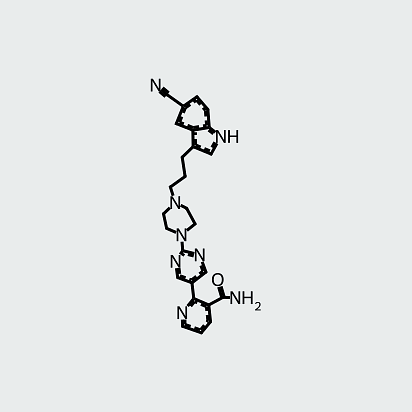 N#Cc1ccc2[nH]cc(CCCN3CCN(c4ncc(-c5ncccc5C(N)=O)cn4)CC3)c2c1